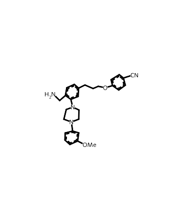 COc1cccc(N2CCN(c3cc(CCCOc4ccc(C#N)cc4)ccc3CN)CC2)c1